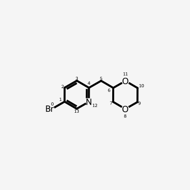 Brc1ccc(CC2COCCO2)nc1